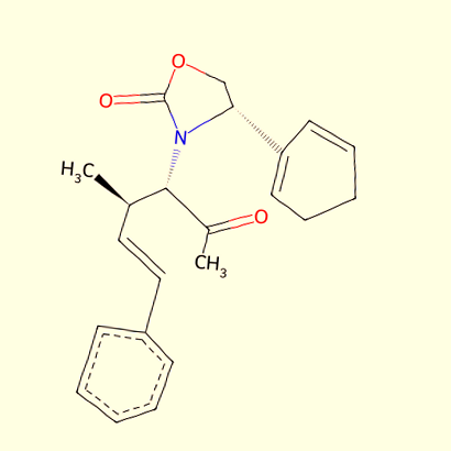 CC(=O)[C@H]([C@H](C)/C=C/c1ccccc1)N1C(=O)OC[C@@H]1C1=CCCC=C1